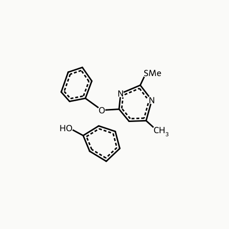 CSc1nc(C)cc(Oc2ccccc2)n1.Oc1ccccc1